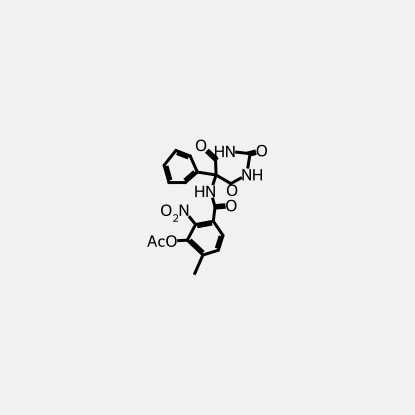 CC(=O)Oc1c(C)ccc(C(=O)NC2(c3ccccc3)C(=O)NC(=O)NC2=O)c1[N+](=O)[O-]